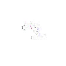 CCCC(NC(=O)C(O)c1cc(F)cc(F)c1)C(=O)Nc1cn(C(C)(C)C)cn1